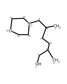 CC(CO)CCC(C)CN1CCOCC1